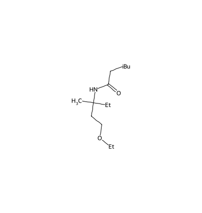 CCOCCC(C)(CC)NC(=O)CC(C)CC